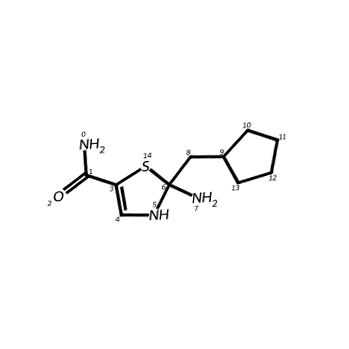 NC(=O)C1=CNC(N)(CC2CCCC2)S1